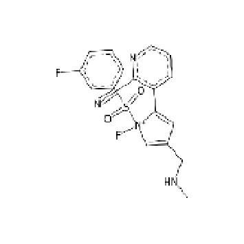 CNCC1=C[N+](F)(S(=O)(=O)c2cccc(F)c2)C(c2cccnc2C#N)=C1